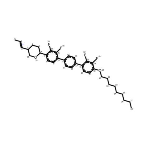 C/C=C/C1CCC(c2ccc(-c3ccc(-c4ccc(OCCCCCCCCC)c(F)c4F)cc3)c(F)c2F)OC1